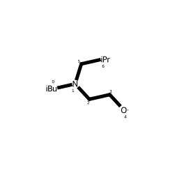 CCC(C)N(CC[O])CC(C)C